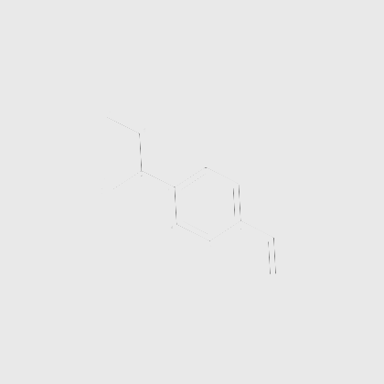 C=Cc1ccc(C(Cl)CC)cc1